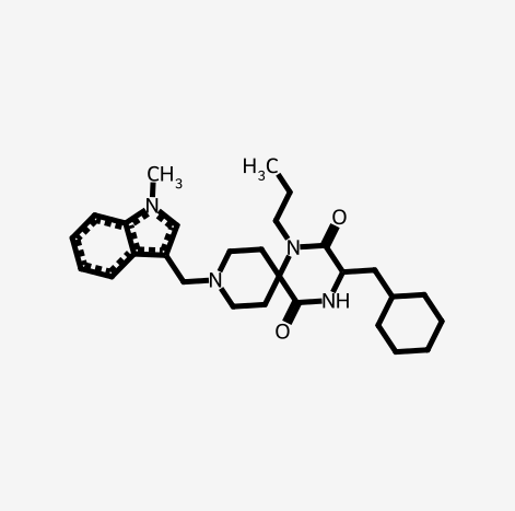 CCCN1C(=O)C(CC2CCCCC2)NC(=O)C12CCN(Cc1cn(C)c3ccccc13)CC2